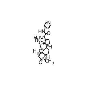 CN1C(=O)C=C[C@]2(C)C3CC[C@]4(C)[C@@H](C(N)C(=O)Nc5ccncc5)CC[C@H]4C3CC[C@@H]12